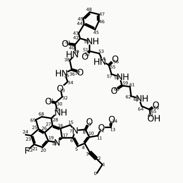 CCC#Cc1cc2n(c(=O)c1COC=O)Cc1c-2nc2cc(F)c(C)c3c2c1C(NC(=O)COCNC(=O)CNC(=O)C(Cc1ccccc1)NC(=O)CNC(=O)CNC(=O)CCNCC(=O)O)CC3